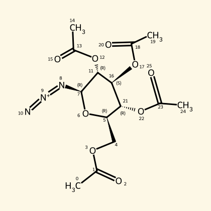 CC(=O)OC[C@H]1O[C@@H](N=[N+]=[N-])[C@H](OC(C)=O)[C@@H](OC(C)=O)[C@@H]1OC(C)=O